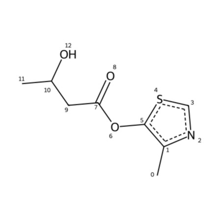 Cc1ncsc1OC(=O)CC(C)O